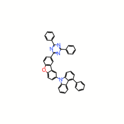 c1ccc(-c2nc(-c3ccccc3)nc(-c3ccc4oc5ccc(-n6c7ccccc7c7c(-c8ccccc8)cccc76)cc5c4c3)n2)cc1